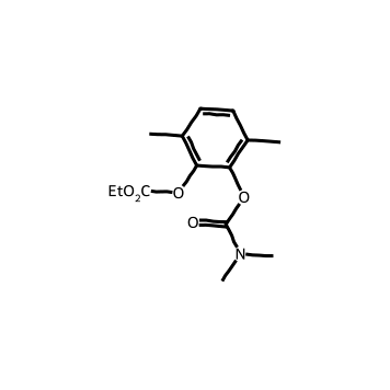 CCOC(=O)Oc1c(C)ccc(C)c1OC(=O)N(C)C